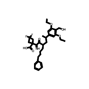 CCOc1cc(C(C)CC(CCCCc2ccccc2)C(=O)C(=N)C2(C(=O)O)CC(F)(F)C2)cc(OCC)c1CO